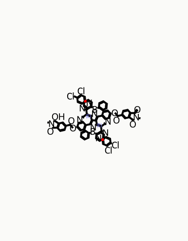 CN1C(=O)c2ccc(C(=O)Oc3ccc(-c4c5/c(=C(\C#N)c6cnc7cc(Cl)c(Cl)cc7n6)n(B(c6ccccc6)c6ccccc6)c(-c6ccc(OC(=O)c7ccc8c(c7)C(O)N(C)C8=O)cc6)c5/c(=C(\C#N)c5cnc6cc(Cl)c(Cl)cc6n5)n4B(c4ccccc4)c4ccccc4)cc3)cc2C1=O